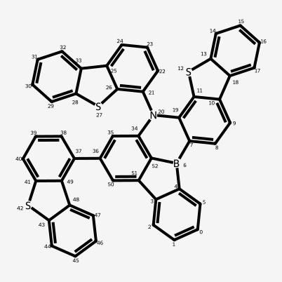 c1ccc2c(c1)B1c3ccc4c(sc5ccccc54)c3N(c3cccc4c3sc3ccccc34)c3cc(-c4cccc5sc6ccccc6c45)cc-2c31